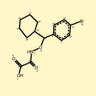 O=C(O)C(=O)NOC(c1ccc(Br)cc1)C1CCCCC1